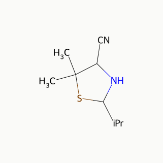 CC(C)C1NC(C#N)C(C)(C)S1